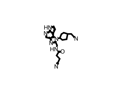 N#CCCC(=O)NCc1nc2cnc3[nH]ccc3c2n1C1CCC(CC#N)CC1